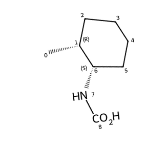 C[C@@H]1CCCC[C@@H]1NC(=O)O